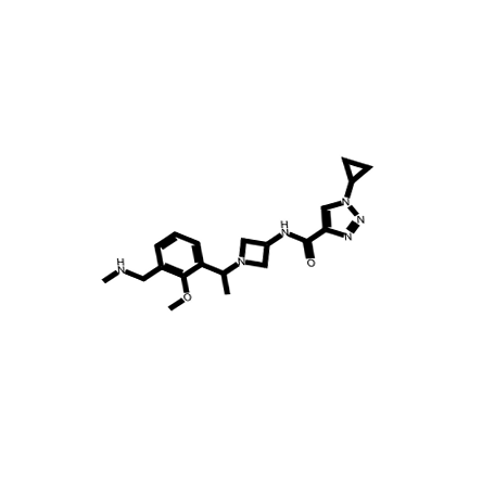 CNCc1cccc(C(C)N2CC(NC(=O)c3cn(C4CC4)nn3)C2)c1OC